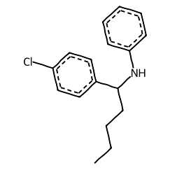 CCCCC(Nc1ccccc1)c1ccc(Cl)cc1